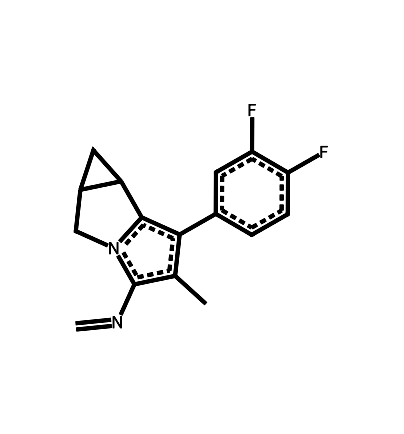 C=Nc1c(C)c(-c2ccc(F)c(F)c2)c2n1CC1CC21